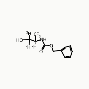 [2H]C([2H])(O)[C@]([2H])(NC(=O)OCc1ccccc1)C(F)(F)F